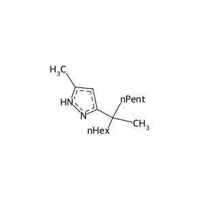 CCCCCCC(C)(CCCCC)c1cc(C)[nH]n1